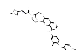 Cc1cc(Nc2ncnc3cc4c(nc23)N2CCN(C(=O)/C=C/C3CN(C)C3)[C@H](CO4)C2)ccc1Oc1ccn2ccnc2c1